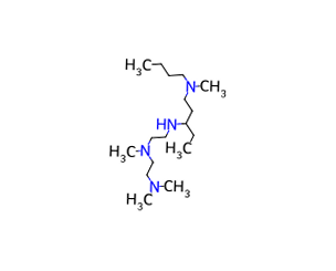 CCCCN(C)CCC(CC)NCCN(C)CCN(C)C